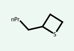 [CH2]CCCC1CCS1